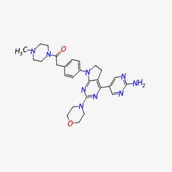 CN1CCN(C(=O)Cc2ccc(N3CCc4c(-c5cnc(N)nc5)nc(N5CCOCC5)nc43)cc2)CC1